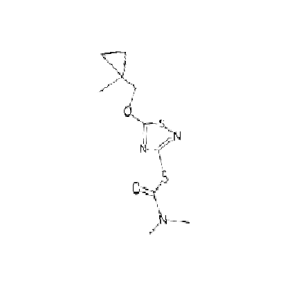 CN(C)C(=O)Sc1nsc(OCC2(C)CC2)n1